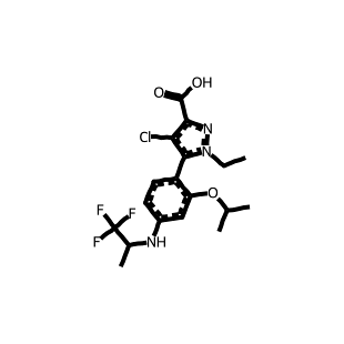 CCn1nc(C(=O)O)c(Cl)c1-c1ccc(NC(C)C(F)(F)F)cc1OC(C)C